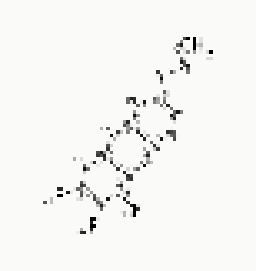 C=CCc1ccc2cc3c(F)c(F)c(F)cc3cc2c1